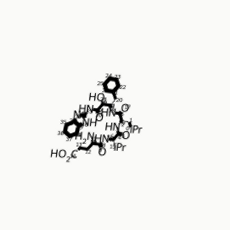 CC(C)C[C@H](NC(=O)[C@@H](NC(=O)[C@@H](N)CCC(=O)O)C(C)C)C(=O)N[C@@H](Cc1ccccc1)[C@@H](O)C(=O)Nc1nc2ccccc2[nH]1